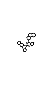 c1ccc2cc3c(cc2c1)c1ccccc1n3-c1nc(-c2ccc3ccc4ccccc4c3c2)c2ccccc2n1